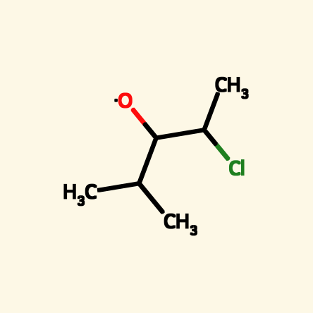 CC(C)C([O])C(C)Cl